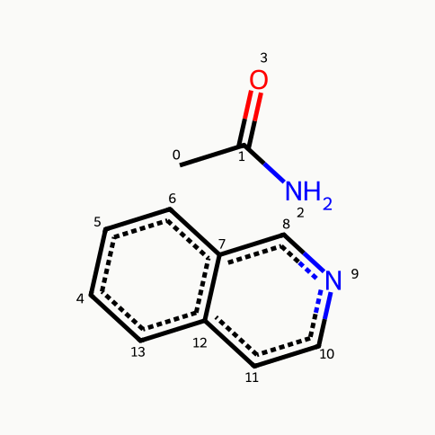 CC(N)=O.c1ccc2cnccc2c1